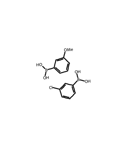 COc1cccc(B(O)O)c1.OB(O)c1cccc(Cl)c1